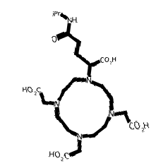 CC(C)NC(=O)CCC(C(=O)O)N1CCN(CC(=O)O)CCN(CC(=O)O)CCN(CC(=O)O)CC1